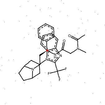 CC(=O)N(C)CC(=O)N[C@@H](CCN1C2CCC1CC(n1c(C(F)(F)F)nc3ccccc31)C2)c1ccccc1